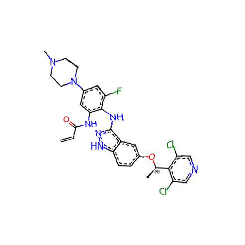 C=CC(=O)Nc1cc(N2CCN(C)CC2)cc(F)c1Nc1n[nH]c2ccc(O[C@H](C)c3c(Cl)cncc3Cl)cc12